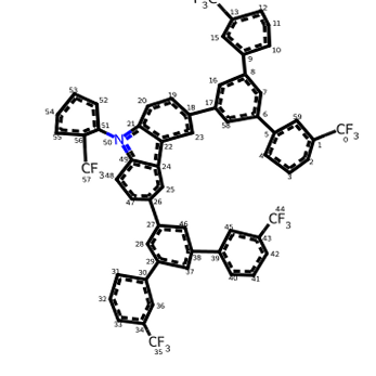 FC(F)(F)c1cccc(-c2cc(-c3cccc(C(F)(F)F)c3)cc(-c3ccc4c(c3)c3cc(-c5cc(-c6cccc(C(F)(F)F)c6)cc(-c6cccc(C(F)(F)F)c6)c5)ccc3n4-c3ccccc3C(F)(F)F)c2)c1